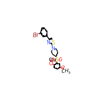 COc1ccc(OC)c(S(=O)(=O)C2CCN(c3nc(-c4cccc(Br)c4)cs3)CC2)c1